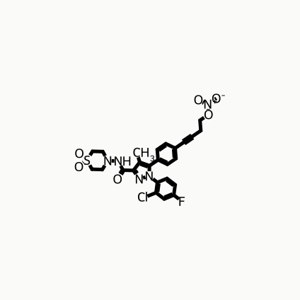 Cc1c(C(=O)NN2CCS(=O)(=O)CC2)nn(-c2ccc(F)cc2Cl)c1-c1ccc(C#CCCO[N+](=O)[O-])cc1